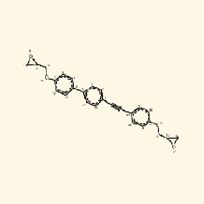 C(#Cc1ccc(-c2ccc(OCC3CO3)cc2)cc1)c1ccc(OCC2CO2)cc1